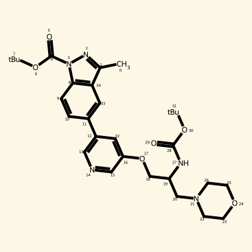 Cc1nn(C(=O)OC(C)(C)C)c2ccc(-c3cncc(OCC(CN4CCOCC4)NC(=O)OC(C)(C)C)c3)cc12